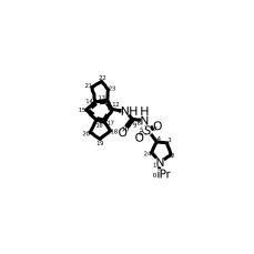 CC(C)N1CCC(S(=O)(=O)NC(=O)Nc2c3c(cc4c2CCC4)CCC3)C1